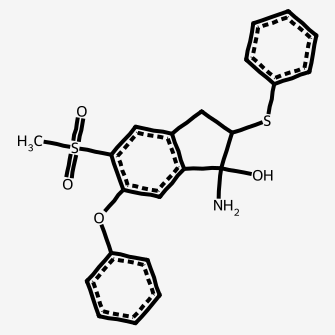 CS(=O)(=O)c1cc2c(cc1Oc1ccccc1)C(N)(O)C(Sc1ccccc1)C2